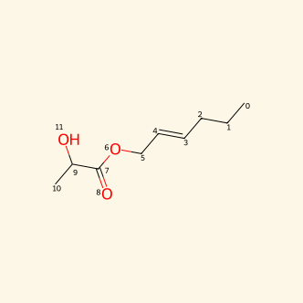 CCCC=CCOC(=O)C(C)O